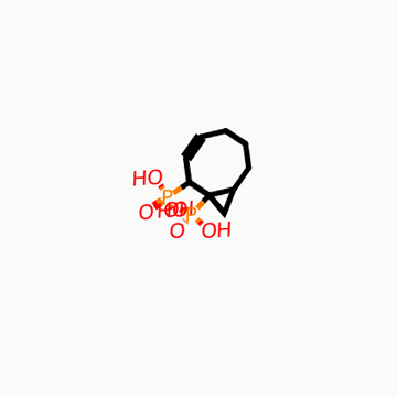 O=P(O)(O)C1C#CCCCC2CC21P(=O)(O)O